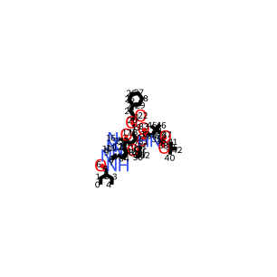 CCC(CC)C(=O)Nc1ncnn2c([C@]3(C#N)O[C@H](COC(=O)CC4CCCCC4)[C@@H](OC(=O)[C@@H](NC(=O)OC(C)(C)C)C(C)(C)C)[C@H]3O[Si](C)(C)C)ccc12